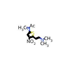 CC(=O)N(C)c1cc([N+](=O)[O-])c(C=CN(C)C)s1